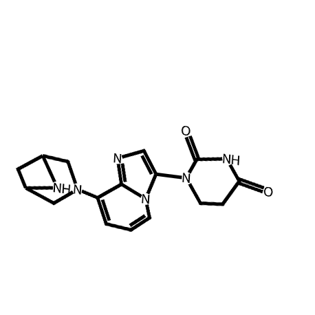 O=C1CCN(c2cnc3c(N4CC5CC(C4)N5)cccn23)C(=O)N1